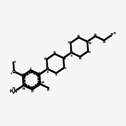 COc1cc(N2CCC(N3CCN(CCF)CC3)CC2)c(C)cc1N